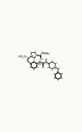 CC(C)(C)OC(=O)N1CC[C@H]([C@H](Cc2cccc(NC(=O)NC3CCN(Cc4ccccc4)CC3)c2)C(=O)O)C1